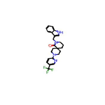 O=C1N(Cc2c[nH]c3ccccc23)CCCC12CCN(c1ccc(C(F)(F)F)cn1)CC2